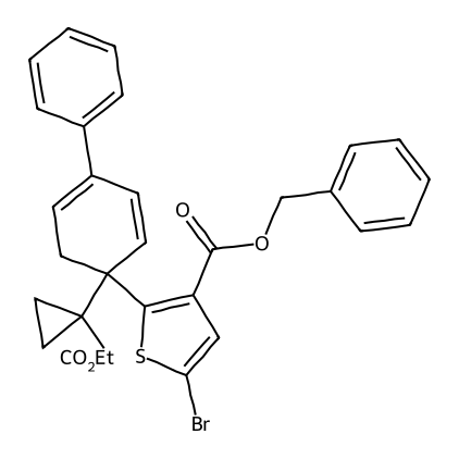 CCOC(=O)C1(C2(c3sc(Br)cc3C(=O)OCc3ccccc3)C=CC(c3ccccc3)=CC2)CC1